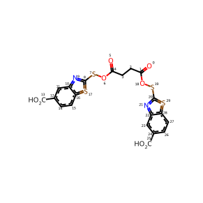 O=C(CCC(=O)OSc1nc2cc(C(=O)O)ccc2s1)OSc1nc2cc(C(=O)O)ccc2s1